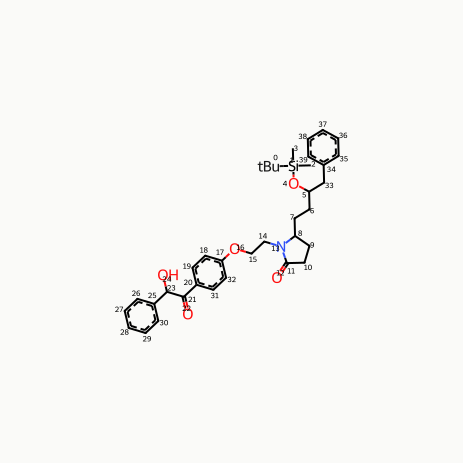 CC(C)(C)[Si](C)(C)OC(CCC1CCC(=O)N1CCOc1ccc(C(=O)C(O)c2ccccc2)cc1)Cc1ccccc1